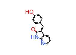 O=C1Nc2ncccc2C1=Cc1ccc(O)cc1